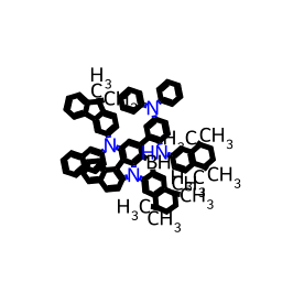 CC1(C)CCC(C)(C)c2cc(Nc3ccc(N(c4ccccc4)c4ccccc4)cc3-c3cc(N(c4ccc5c(c4)-c4ccccc4C5(C)C)c4ccc5ccccc5c4)c4c5c6ccccc6ccc5n5c4c3Bc3cc4c(cc3-5)C(C)(C)CCC4(C)C)ccc21